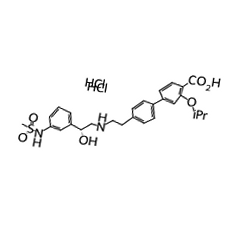 CC(C)Oc1cc(-c2ccc(CCNC[C@H](O)c3cccc(NS(C)(=O)=O)c3)cc2)ccc1C(=O)O.Cl.Cl